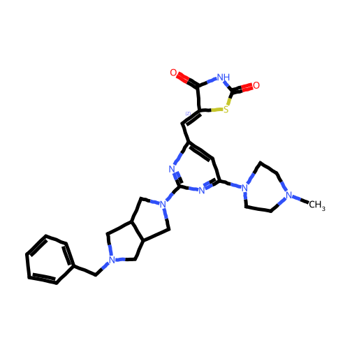 CN1CCN(c2cc(/C=C3\SC(=O)NC3=O)nc(N3CC4CN(Cc5ccccc5)CC4C3)n2)CC1